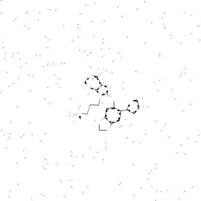 CC(C)NS(=O)(=O)CCCn1c(Sc2cc3c(cc2-c2ccco2)OCO3)nc2c(N)ncnc21